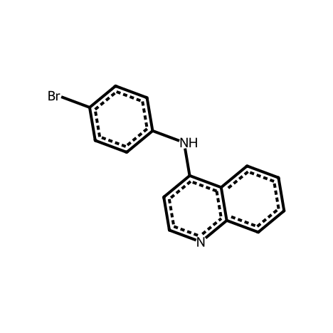 Brc1ccc(Nc2ccnc3ccccc23)cc1